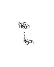 CC(C)c1cccc(C(C)C)c1NC(=O)CCCCCCCCSc1nc2cccc(C(F)(F)F)c2o1